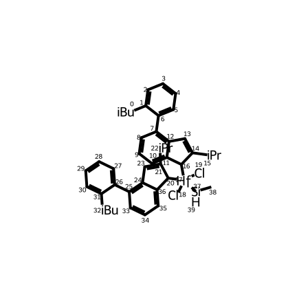 CCC(C)c1ccccc1-c1cccc2c1C=C(C(C)C)[CH]2[Hf]([Cl])([Cl])([CH]1C(C(C)C)=Cc2c(-c3ccccc3C(C)CC)cccc21)[SiH](C)C